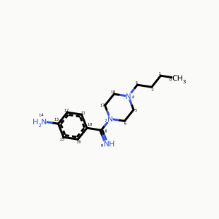 CCCCN1CCN(C(=N)c2ccc(N)cc2)CC1